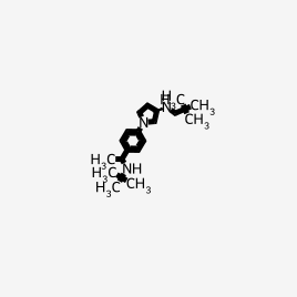 CC(NC(C)(C)C)c1ccc(N2CC[C@@H](NCC(C)(C)C)C2)cc1